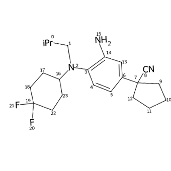 CC(C)CN(c1ccc(C2(C#N)CCCC2)cc1N)C1CCC(F)(F)CC1